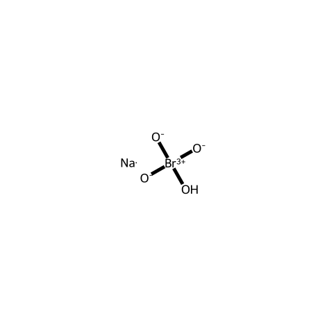 [Na].[O-][Br+3]([O-])([O-])O